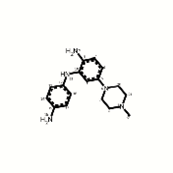 CN1CCN(c2ccc(N)c(Nc3ccc(N)cc3)c2)CC1